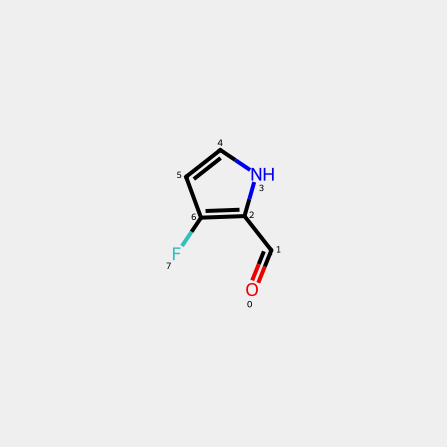 O=[C]c1[nH]ccc1F